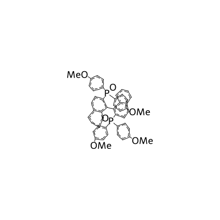 COc1ccc(P(=O)(c2ccc(OC)cc2)c2ccc3ccccc3c2-c2c(P(=O)(c3ccc(OC)cc3)c3ccc(OC)cc3)ccc3ccccc23)cc1